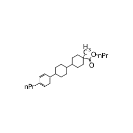 CCCOC(=O)C1(C)CCC(C2CCC(c3ccc(CCC)cc3)CC2)CC1